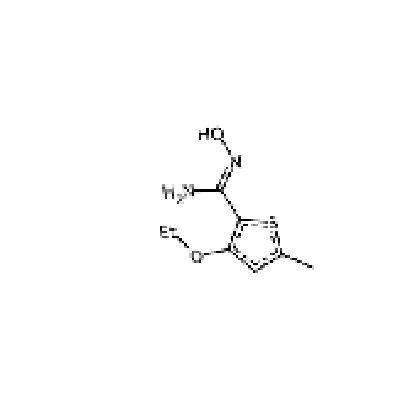 CCOc1cc(C)sc1/C(N)=N/O